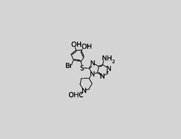 Nc1ncnc2c1nc(Sc1cc(O)c(O)cc1Br)n2C1CCN(C=O)CC1